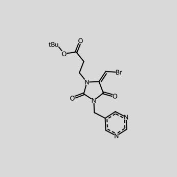 CC(C)(C)OC(=O)CCN1C(=O)N(Cc2cncnc2)C(=O)C1=CBr